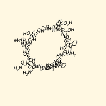 CCCC[C@H]1C(=O)N(C)[C@@H](CCCC)C(=O)N[C@@H](CCCN)C(=O)N[C@H](C(=O)NCC(N)=O)CSCC(=O)N[C@@H](Cc2ccc(OC)cc2)C(=O)N(C)[C@@H](C)C(=O)N[C@@H](CC(=O)O)C(=O)N2CCCC2C(=O)N[C@@H](Cc2cnc[nH]2)C(=O)N[C@@H](CCC(=O)O)C(=O)N2C[C@H](O)C[C@H]2C(=O)N[C@@H](Cc2c[nH]c3ccccc23)C(=O)N[C@@H](CCN)C(=O)N[C@@H](Cc2c[nH]c3ccccc23)C(=O)N1C